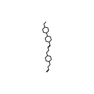 C=CCCC1CCC(CCC=CC2CCC(C3CCC(CC)CC3)CC2)CC1